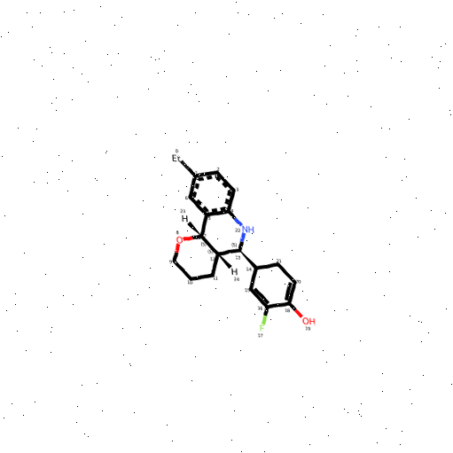 CCc1ccc2c(c1)[C@H]1OCCC[C@H]1[C@H](C1C=C(F)C(O)=CC1)N2